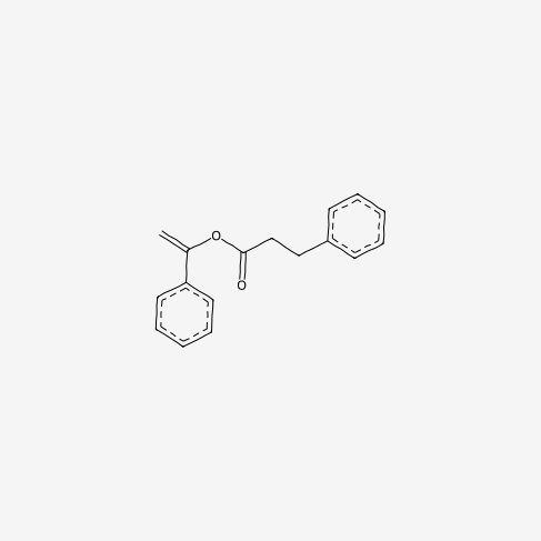 C=C(OC(=O)CCc1ccccc1)c1ccccc1